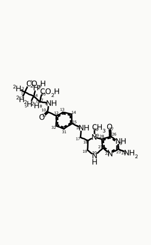 [2H]C([2H])(C(=O)O)C([2H])([2H])[C@]([2H])(NC(=O)c1ccc(NCC2CNc3nc(N)[nH]c(=O)c3N2C)cc1)C(=O)O